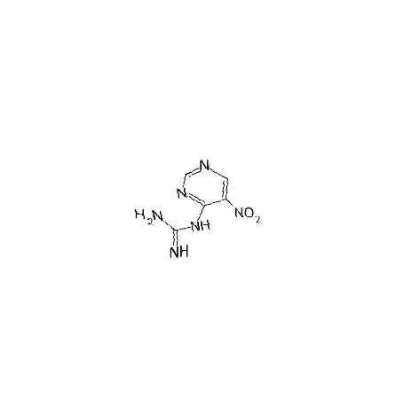 N=C(N)Nc1ncncc1[N+](=O)[O-]